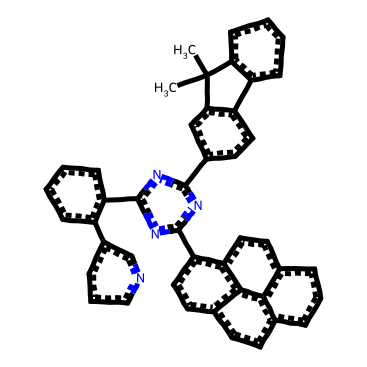 CC1(C)c2ccccc2-c2ccc(-c3nc(-c4ccccc4-c4cccnc4)nc(-c4ccc5ccc6cccc7ccc4c5c67)n3)cc21